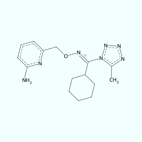 Cc1nnnn1/C(=N/OCc1cccc(N)n1)C1CCCCC1